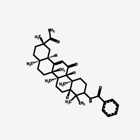 CC1(C)C(NC(=O)c2ccccc2)CC[C@]2(C)[C@H]3C(=O)C=C4[C@@H]5C[C@@](C)(C(N)=O)CC[C@]5(C)CC[C@@]4(C)[C@]3(C)CC[C@@H]12